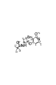 COc1nc(C)cc(O[C@H]2CC[C@H]2N[S+]([O-])C(C)(C)C)c1Br